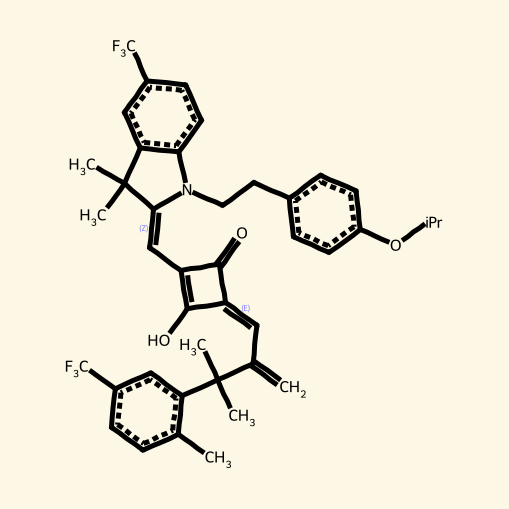 C=C(/C=C1/C(=O)C(/C=C2\N(CCc3ccc(OC(C)C)cc3)c3ccc(C(F)(F)F)cc3C2(C)C)=C1O)C(C)(C)c1cc(C(F)(F)F)ccc1C